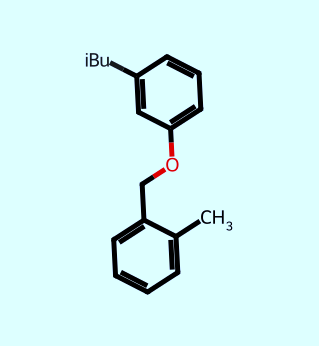 CCC(C)c1cccc(OCc2ccccc2C)c1